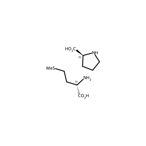 CSCC[C@H](N)C(=O)O.O=C(O)[C@@H]1CCCN1